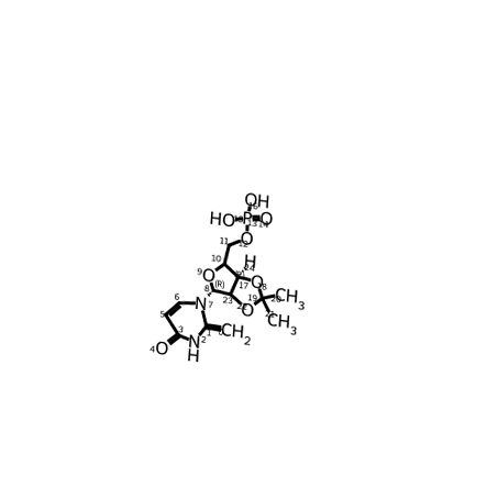 C=C1NC(=O)C=CN1[C@@H]1OC(COP(=O)(O)O)[C@H]2OC(C)(C)OC21